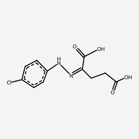 O=C(O)CCC(=NNc1ccc(Cl)cc1)C(=O)O